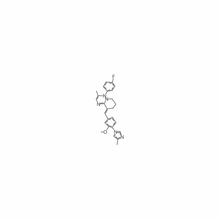 COc1cc(/C=C2\CCCN3C2=NC=C(C)N3c2ccc(F)cc2)ccc1-n1cnc(C)c1